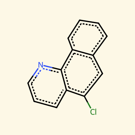 Clc1cc2ccccc2c2ncccc12